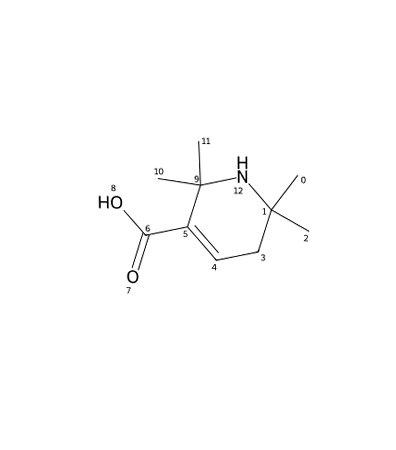 CC1(C)CC=C(C(=O)O)C(C)(C)N1